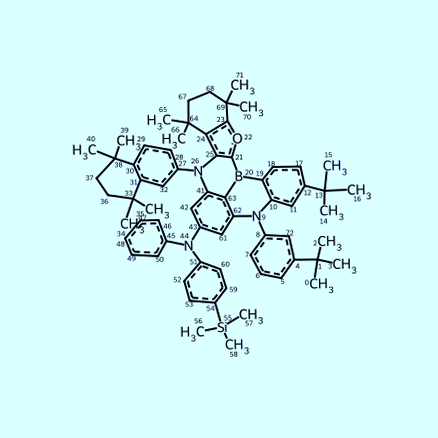 CC(C)(C)c1cccc(N2c3cc(C(C)(C)C)ccc3B3c4oc5c(c4N(c4ccc6c(c4)C(C)(C)CCC6(C)C)c4cc(N(c6ccccc6)c6ccc([Si](C)(C)C)cc6)cc2c43)C(C)(C)CCC5(C)C)c1